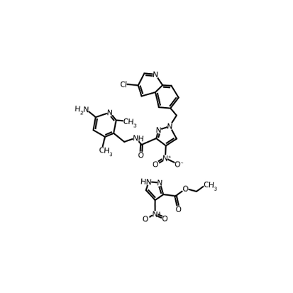 CCOC(=O)c1n[nH]cc1[N+](=O)[O-].Cc1cc(N)nc(C)c1CNC(=O)c1nn(Cc2ccc3ncc(Cl)cc3c2)cc1[N+](=O)[O-]